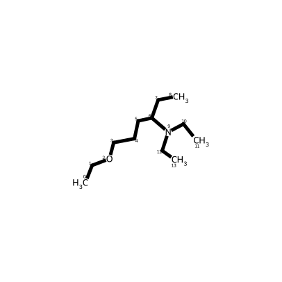 CCOCCCC(CC)N(CC)CC